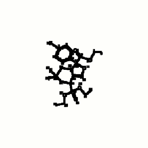 CCOC(=O)[C@@]1(c2ccc(F)cc2)ON=C2C(P(=O)(OCC)OCC)CC(F)(F)CN21